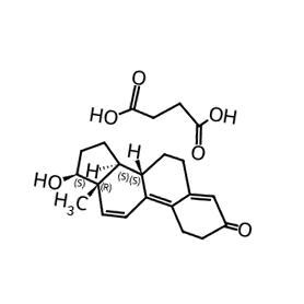 C[C@]12C=CC3=C4CCC(=O)C=C4CC[C@H]3[C@@H]1CC[C@@H]2O.O=C(O)CCC(=O)O